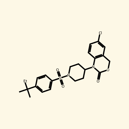 CCC(C)(C)c1ccc(S(=O)(=O)N2CCC(N3C(=O)OCc4cc(Cl)ccc43)CC2)cc1